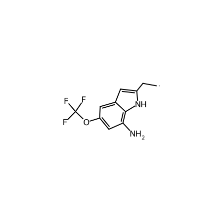 [CH2]Cc1cc2cc(OC(F)(F)F)cc(N)c2[nH]1